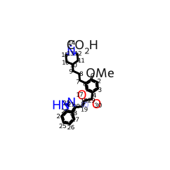 COc1ccc2c(c1CCCC1CCN(C(=O)O)CC1)O/C(=C\c1n[nH]c3ccccc13)C2=O